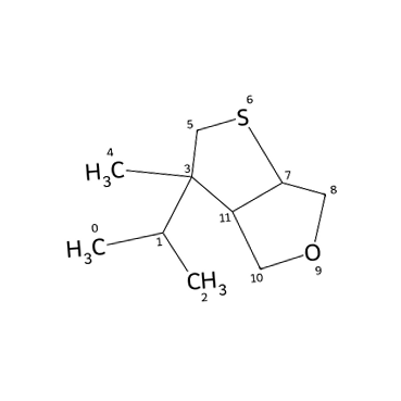 CC(C)C1(C)CSC2COCC21